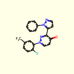 O=c1ccn(-c2cc(C(F)(F)F)ccc2F)nc1-c1ccnn1-c1ccccc1